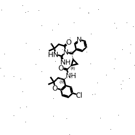 CC1(C)CC(=O)N([C@H](c2cccnc2)C2C[C@H]2C(=O)N[C@H]2CC(C)(C)Oc3ccc(Cl)cc32)C(=N)N1